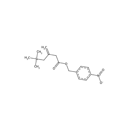 C=C(CC(=O)OCc1ccc([N+](=O)[O-])cc1)C[Si](C)(C)C